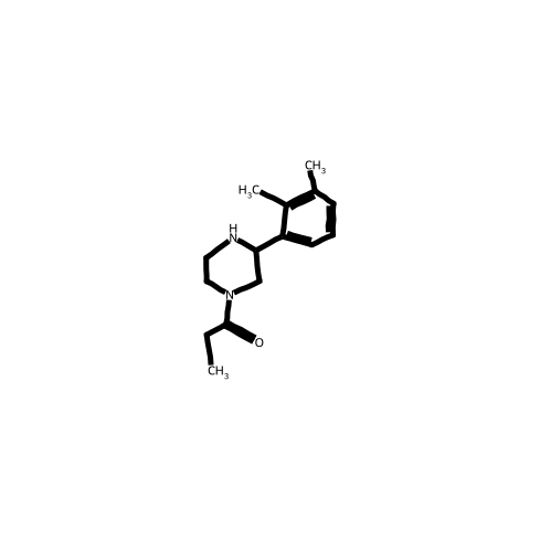 CCC(=O)N1CCNC(c2cccc(C)c2C)C1